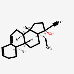 C#C[C@]1(O)CC[C@H]2[C@@H]3CC=C4C=CCC[C@@H]4[C@H]3CC[C@@]21CC